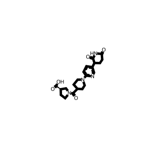 O=C1CCC(c2ccc(N3CCC(C(=O)N4CC[C@@H](C(=O)O)C4)CC3)nc2)C(=O)N1